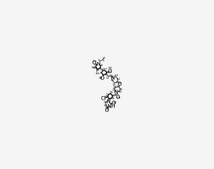 CCCn1cc(-c2cc(OC)c(CCN3CCC(OC4CCN(C(=O)c5ccc(Cl)c(N6CCC(=O)NC6=O)c5)CC4)CC3)c(OC)c2)c(C)c(C)c1=O